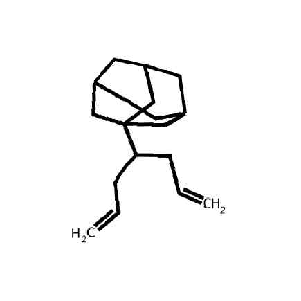 C=CCC(CC=C)C12CC3CC(CC(C3)C1)C2